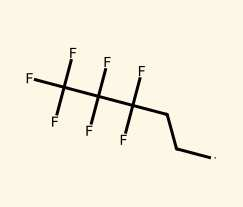 [CH2]CCC(F)(F)C(F)(F)C(F)(F)F